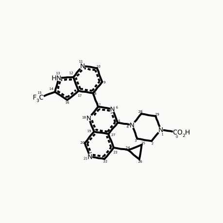 O=C(O)N1CCN(c2nc(-c3ccnc4[nH]c(C(F)(F)F)cc34)nc3cncc(C4CC4)c23)CC1